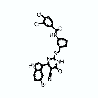 N#Cc1c(-c2c[nH]c3ccc(Br)cc23)nc(SCc2cccc(NC(=O)c3ccc(Cl)c(Cl)c3)c2)[nH]c1=O